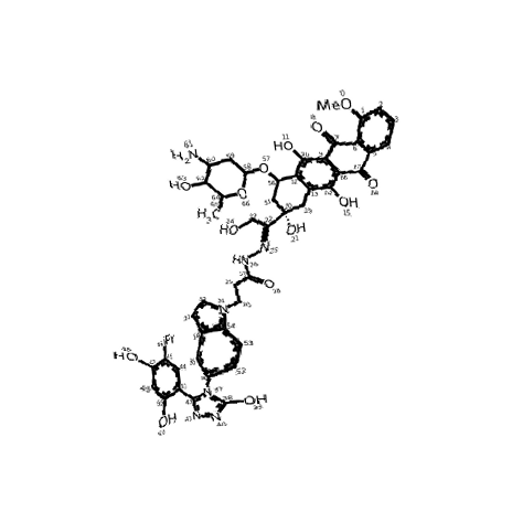 COc1cccc2c1C(=O)c1c(O)c3c(c(O)c1C2=O)C[C@@](O)(/C(CO)=N/NC(=O)CCn1ccc2cc(-n4c(O)nnc4-c4cc(C(C)C)c(O)cc4O)ccc21)CC3OC1CC(N)C(O)C(C)O1